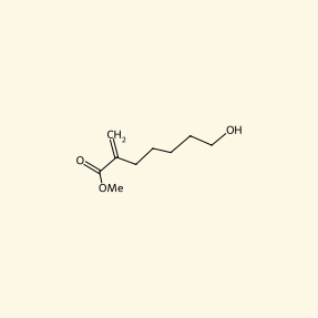 C=C(CCCCCO)C(=O)OC